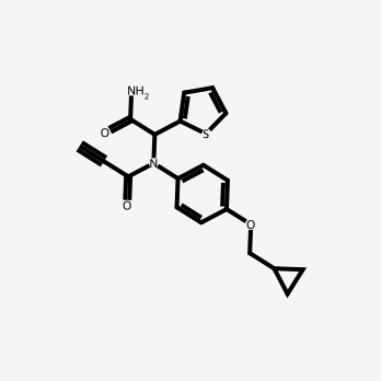 C#CC(=O)N(c1ccc(OCC2CC2)cc1)C(C(N)=O)c1cccs1